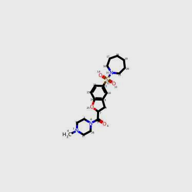 CN1CCN(C(=O)C2Cc3cc(S(=O)(=O)N4CCCCCC4)ccc3O2)CC1